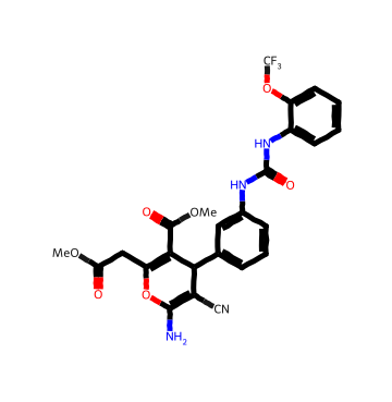 COC(=O)CC1=C(C(=O)OC)C(c2cccc(NC(=O)Nc3ccccc3OC(F)(F)F)c2)C(C#N)=C(N)O1